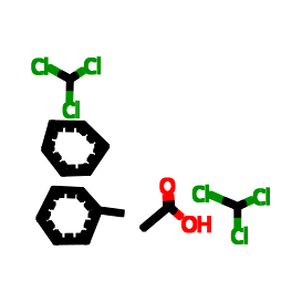 CC(=O)O.Cc1ccccc1.ClC(Cl)Cl.ClC(Cl)Cl.c1ccccc1